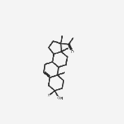 CC(=O)C1(C)CCC2C3CC=C4CC(O)(F)CCC4(C)C3CCC21C